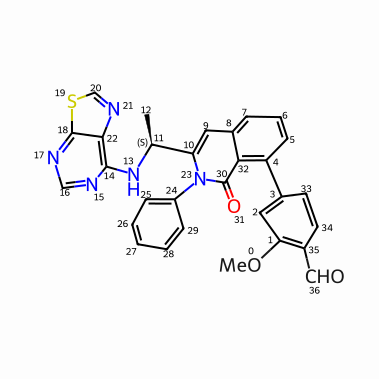 COc1cc(-c2cccc3cc([C@H](C)Nc4ncnc5scnc45)n(-c4ccccc4)c(=O)c23)ccc1C=O